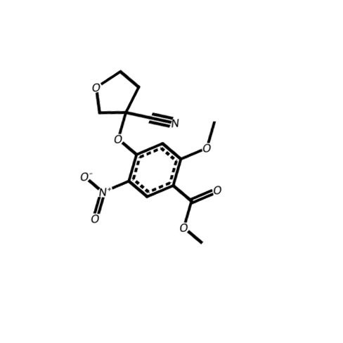 COC(=O)c1cc([N+](=O)[O-])c(OC2(C#N)CCOC2)cc1OC